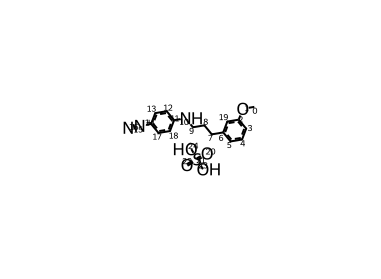 COc1cccc(CCCNc2ccc([N+]#N)cc2)c1.O=S(=O)(O)O